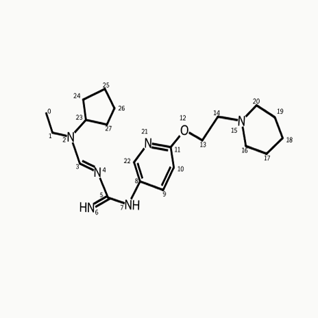 CCN(/C=N/C(=N)Nc1ccc(OCCN2CCCCC2)nc1)C1CCCC1